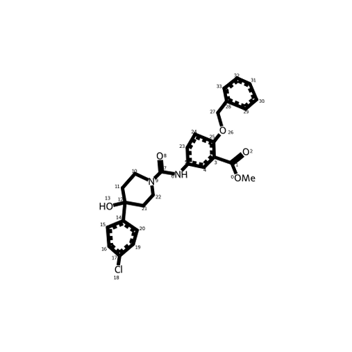 COC(=O)c1cc(NC(=O)N2CCC(O)(c3ccc(Cl)cc3)CC2)ccc1OCc1ccccc1